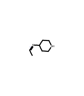 C/C=N\C1CCNCC1